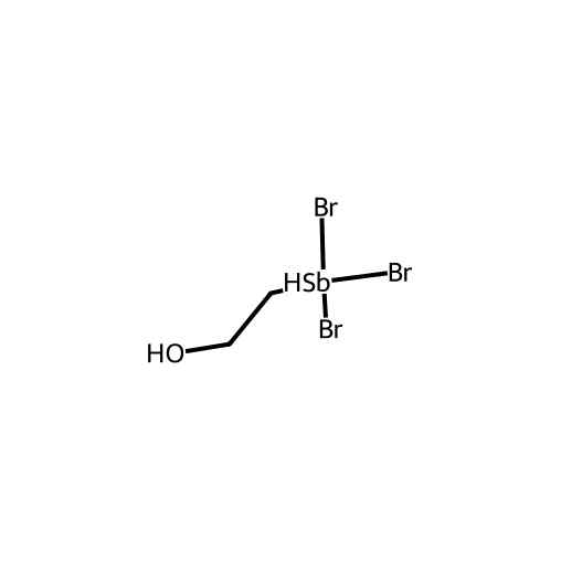 OC[CH2][SbH]([Br])([Br])[Br]